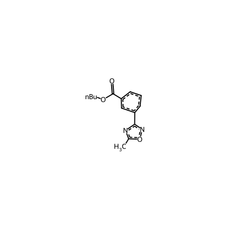 CCCCOC(=O)c1cccc(-c2noc(C)n2)c1